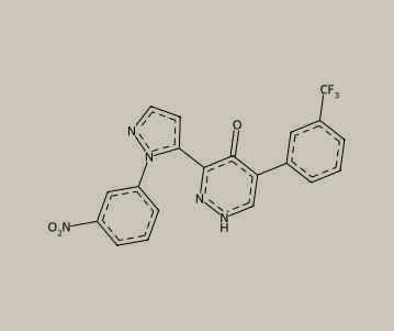 O=c1c(-c2cccc(C(F)(F)F)c2)c[nH]nc1-c1ccnn1-c1cccc([N+](=O)[O-])c1